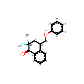 O=C1c2ccccc2C(COc2ccccc2)CC1(F)F